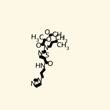 CC(=O)OC(C)C(=O)N(CCC(C)C)c1ncc(C(=O)NCCCn2ccnc2)s1